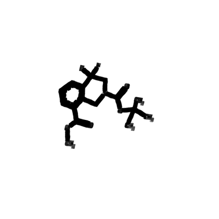 COC(=O)c1cccc2c1CN(C(=O)OC(C)(C)C)CC2(F)F